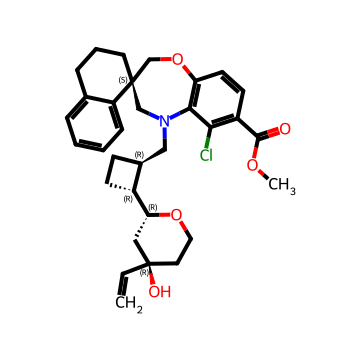 C=C[C@@]1(O)CCO[C@@H]([C@@H]2CC[C@H]2CN2C[C@@]3(CCCc4ccccc43)COc3ccc(C(=O)OC)c(Cl)c32)C1